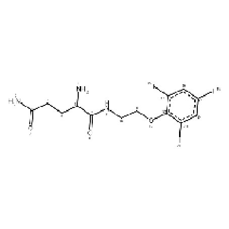 NC(=O)CCC(N)C(=O)NCCOc1c(I)cc(I)cc1I